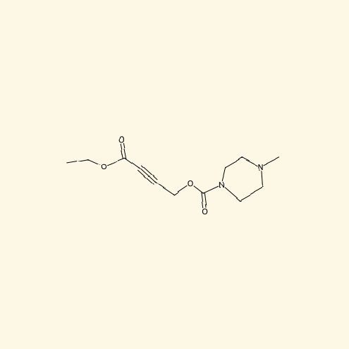 CCOC(=O)C#CCOC(=O)N1CCN(C)CC1